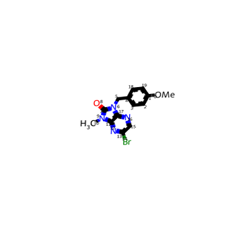 COc1ccc(Cn2c(=O)n(C)c3nc(Br)cnc32)cc1